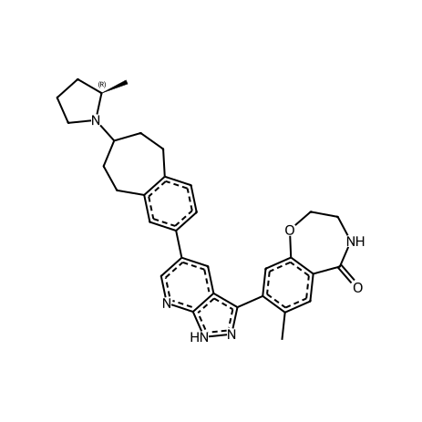 Cc1cc2c(cc1-c1n[nH]c3ncc(-c4ccc5c(c4)CCC(N4CCC[C@H]4C)CC5)cc13)OCCNC2=O